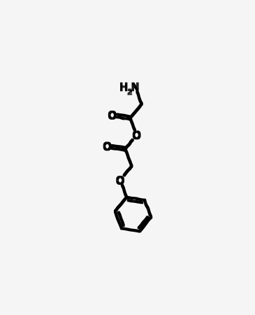 NCC(=O)OC(=O)COc1ccccc1